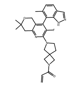 C=CC(=O)N1CC2(CCN(c3nc4c(c(-c5c(C)ccc6cn[nH]c56)c3F)COC(C)(C)C4)C2)C1